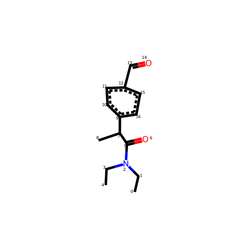 CCN(CC)C(=O)C(C)c1ccc(C=O)cc1